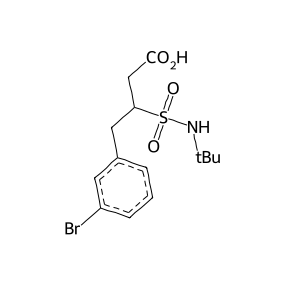 CC(C)(C)NS(=O)(=O)C(CC(=O)O)Cc1cccc(Br)c1